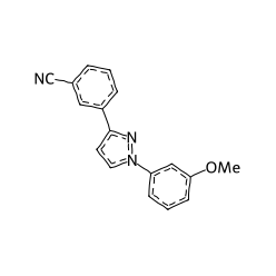 COc1cccc(-n2ccc(-c3cccc(C#N)c3)n2)c1